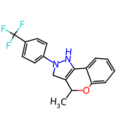 CC1Oc2ccccc2C2=C1CN(c1ccc(C(F)(F)F)cc1)N2